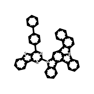 c1ccc(-c2ccc(-c3nc(-n4c5ccccc5c5c6c7ccccc7n7c8ccc9ccccc9c8c(cc54)c67)nc4c3sc3ccccc34)cc2)cc1